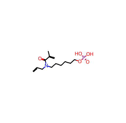 C=CCN(CCCCCCOP(=O)(O)O)C(=O)C(=C)C